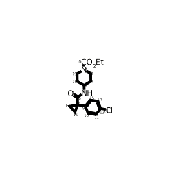 CCOC(=O)N1CCC(NC(=O)C2(c3ccc(Cl)cc3)CC2)CC1